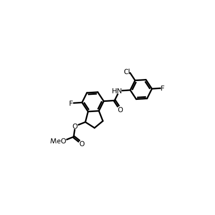 COC(=O)OC1CCc2c(C(=O)Nc3ccc(F)cc3Cl)ccc(F)c21